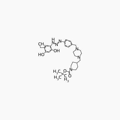 CCc1cc(NN=Nc2ccc(CN3CCN(CC4CCN(C(=O)OC(C)(C)C)CC4)CC3)cc2)c(O)cc1O